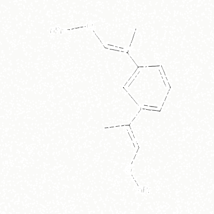 CCCOC=C(C)c1cccc(C(C)=COCCC)c1